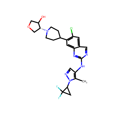 Cc1c(Nc2ncc3cc(Cl)c(C4CCN([C@@H]5COCC5O)CC4)cc3n2)cnn1C1CC1(F)F